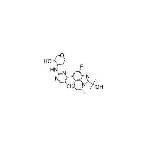 C[C@@H]1COc2c(-c3nc(NC4CCOCC4O)ncc3Cl)cc(F)c3nc(C(C)(C)O)n1c23